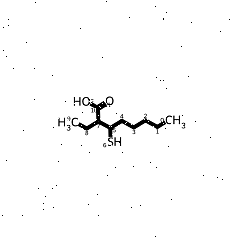 CCCCCC(S)C(CC)C(=O)O